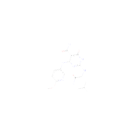 COc1ccc(Nc2nc(N[C@H](CC(C)C)C(N)=O)[nH]c(=O)c2C(N)=O)cn1